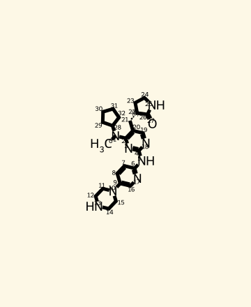 CN(c1nc(Nc2ccc(N3CCNCC3)cn2)ncc1C[C@@H]1CCNC1=O)C1CCCC1